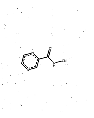 N#CNC(=O)c1cnccn1